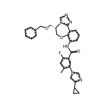 Cc1cc(F)c(C(=O)Nc2cccc3c2OC[C@H](COCc2ccccc2)n2cnnc2-3)cc1-n1cnc(C2CC2)c1